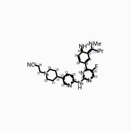 CN/C(=C1/C=C(c2nc(Nc3ccc(C4CCN(CCC#N)CC4)cn3)ncc2F)C=CC1=N)C(C)C